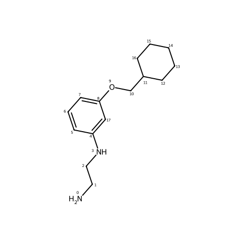 NCCNc1cccc(OCC2CCCCC2)c1